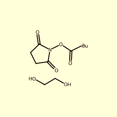 CCC(C)C(=O)ON1C(=O)CCC1=O.OCCO